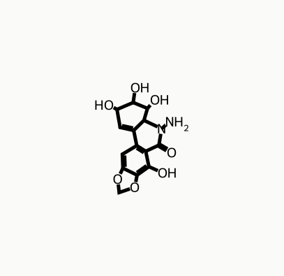 NN1C(=O)c2c(cc3c(c2O)OCO3)C2=CC(O)C(O)C(O)C21